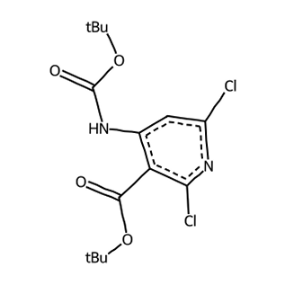 CC(C)(C)OC(=O)Nc1cc(Cl)nc(Cl)c1C(=O)OC(C)(C)C